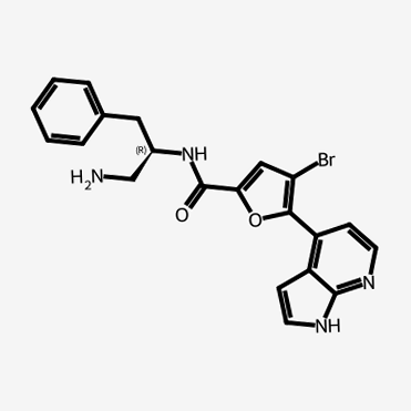 NC[C@@H](Cc1ccccc1)NC(=O)c1cc(Br)c(-c2ccnc3[nH]ccc23)o1